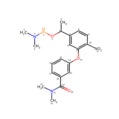 CC(OPN(C)C)c1ccc([N+](=O)[O-])c(Oc2cccc(C(=O)N(C)C)c2)c1